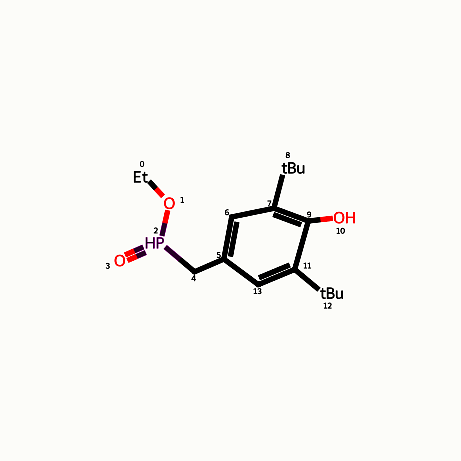 CCO[PH](=O)Cc1cc(C(C)(C)C)c(O)c(C(C)(C)C)c1